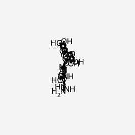 N=C(N)NCCC[C@H](NC(=O)Cn1cc(COC(=O)c2c(O)c(O)cc3occ(-c4cc5cc(O)c(O)cc5oc4=O)c(=O)c23)nn1)C(=O)O